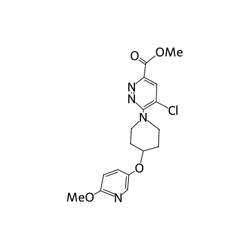 COC(=O)c1cc(Cl)c(N2CCC(Oc3ccc(OC)nc3)CC2)nn1